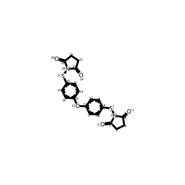 O=C1CCC(=O)N1Sc1ccc(Oc2ccc(SN3C(=O)CCC3=O)cc2)cc1